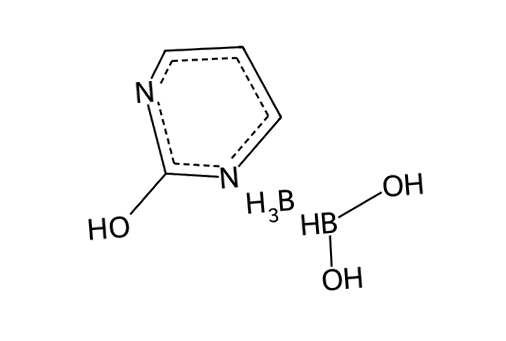 B.OBO.Oc1ncccn1